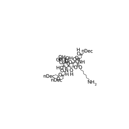 CCCCCCCCCCCC(=O)O[C@H](CCCCCCCCCCC)CC(=O)N[C@H]1[C@@H](O)[C@H](OP(=O)(O)O)[C@@H](CO)O[C@H]1C(O)[C@H]1O[C@H](OCCCCCCN)[C@@H](NC(=O)C[C@H](O)CCCCCCCCCCC)[C@@H](O)[C@@H]1O